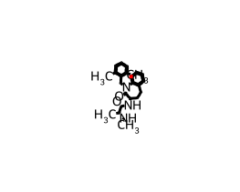 CNC(C)C(=O)NC1CCc2ccccc2N(Cc2c(C)cccc2C)C1=O